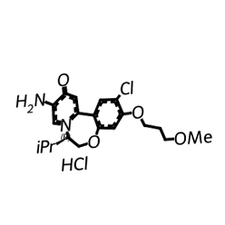 COCCCOc1cc2c(cc1Cl)-c1cc(=O)c(N)cn1[C@H](C(C)C)CO2.Cl